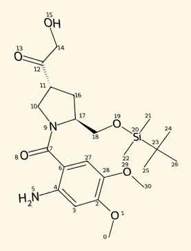 COc1cc(N)c(C(=O)N2C[C@H](C(=O)CO)C[C@H]2CO[Si](C)(C)C(C)(C)C)cc1OC